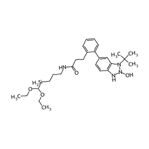 CCOC(OCC)[SiH2]CCCNC(=O)CCc1ccccc1-c1ccc2c(c1)N(C(C)(C)C)N(O)N2